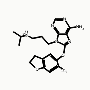 CC(C)[13NH]CCCn1c(Sc2cc3c(cc2[131I])OCC3)nc2c(N)ncnc21